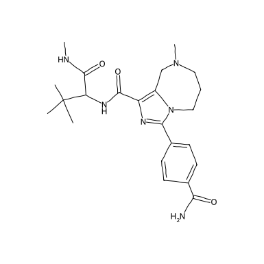 CNC(=O)C(NC(=O)c1nc(-c2ccc(C(N)=O)cc2)n2c1CN(C)CCC2)C(C)(C)C